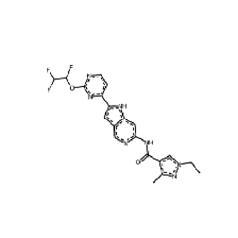 CCn1cc(C(=O)Nc2cc3[nH]c(-c4ccnc(OC(F)C(F)F)n4)cc3cn2)c(C)n1